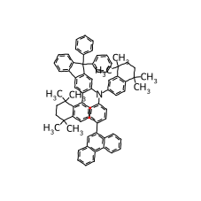 CC1(C)CCC(C)(C)c2cc(N(c3ccc(-c4cc5ccccc5c5ccccc45)cc3)c3cc4c(cc3-c3cccc5c3C(C)(C)CCC5(C)C)-c3ccccc3C4(c3ccccc3)c3ccccc3)ccc21